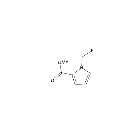 COC(=O)c1cccn1CF